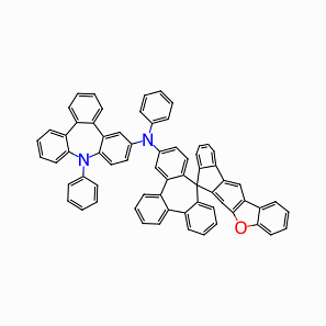 c1ccc(N(c2ccc3c(c2)-c2ccccc2-c2ccccc2N3c2ccccc2)c2ccc3c(c2)-c2ccccc2-c2ccccc2C32c3ccccc3-c3cc4c(cc32)oc2ccccc24)cc1